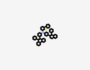 c1ccc(-c2c(-c3ccc(N(c4cccc(-c5c(-c6ccccc6)c6ccccc6c6ccccc56)c4)c4cccc5c4sc4ccccc45)cc3)ccc3ccccc23)cc1